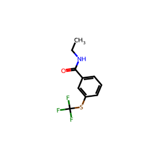 CCNC(=O)c1cccc(SC(F)(F)F)c1